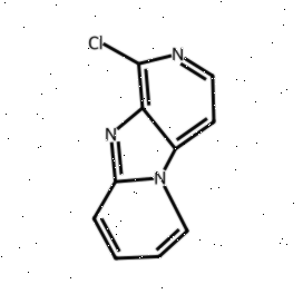 Clc1nccc2c1nc1ccccn12